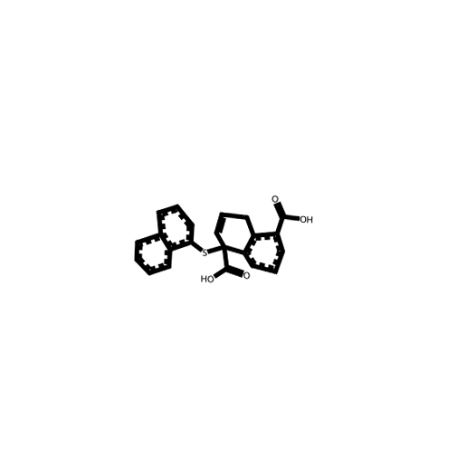 O=C(O)c1cccc2c1CC=CC2(Sc1cccc2ccccc12)C(=O)O